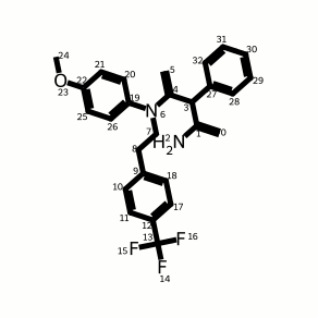 C=C(N)C(C(=C)N(CCc1ccc(C(F)(F)F)cc1)c1ccc(OC)cc1)c1ccccc1